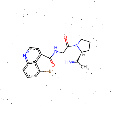 CC(=N)[C@@H]1CCCN1C(=O)CNC(=O)c1ccnc2cccc(Br)c12